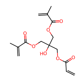 C=CC(=O)OCC(O)(COC(=O)C(=C)C)COC(=O)C(=C)C